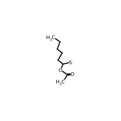 CCCCCC([S])OC(C)=O